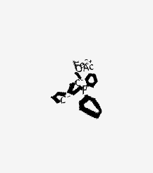 CC(=O)OCC[c-]1cccc1P(c1ccccc1)c1ccccc1.[Fe+2].c1cc[cH-]c1